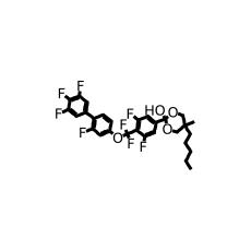 CCCCCC1(C)COC(O)(c2cc(F)c(C(F)(F)Oc3ccc(-c4cc(F)c(F)c(F)c4)c(F)c3)c(F)c2)OC1